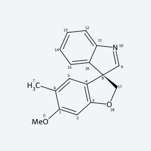 COc1cc2c(cc1C)[C@]1(C=Nc3ccccc31)CO2